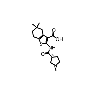 CN1CC[C@H](C(=O)Nc2sc3c(c2C(=O)O)CC(C)(C)CC3)C1